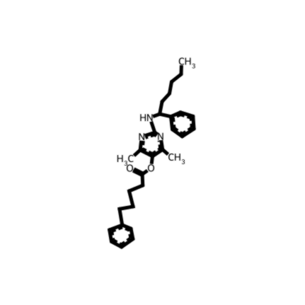 CCCCCC(Nc1nc(C)c(OC(=O)CCCCc2ccccc2)c(C)n1)c1ccccc1